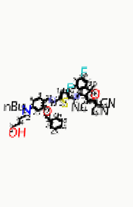 CCCCN(CCCCO)c1ccc(/C=C/c2ccc(/C=C/C3=C(C#N)C(=C(C#N)C#N)OC3(C)c3cc(F)cc(F)c3)s2)c(OCc2ccccc2)c1